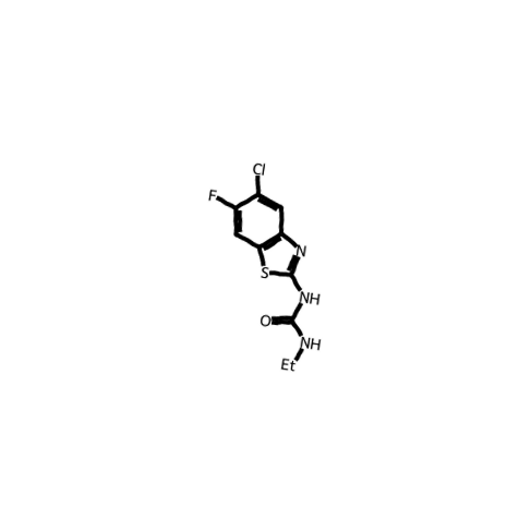 CCNC(=O)Nc1nc2cc(Cl)c(F)cc2s1